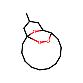 CC1CC2OC3(CCCCCCCCCCC2OO3)C1